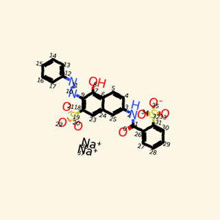 O=C(Nc1ccc2c(O)c(N=Nc3ccccc3)c(S(=O)(=O)[O-])cc2c1)c1ccccc1S(=O)(=O)[O-].[Na+].[Na+]